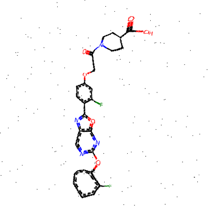 O=C(O)C1CCN(C(=O)COc2ccc(-c3nc4cnc(Oc5ccccc5F)nc4o3)c(F)c2)CC1